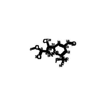 COC(=O)c1nn2c(C(F)(F)F)cc(C=O)cc2c1Cl